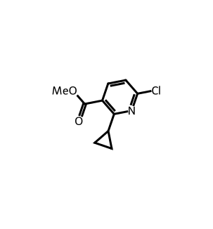 COC(=O)c1ccc(Cl)nc1C1CC1